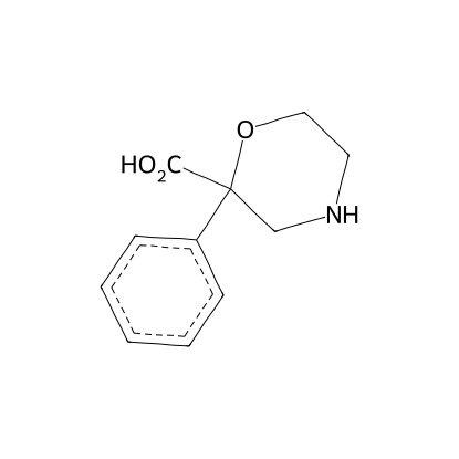 O=C(O)C1(c2ccccc2)CNCCO1